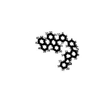 c1cc(-c2ccc3sc4ccc5c(ccc6c7ccccc7sc65)c4c3c2)cc(-c2c3ccccc3c(-c3cccc4ccccc34)c3ccccc23)c1